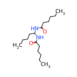 [CH2]CCCC(NC(=O)CCCCC)NC(=O)CCCCC